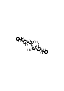 CC[C@H]1O[C@@H](n2ccc(NC(=O)c3ccccc3)nc2=O)C[C@H]1OC[C@H]1O[C@@H](n2ccc(NC(=O)c3ccccc3)nc2=O)C[C@H]1O